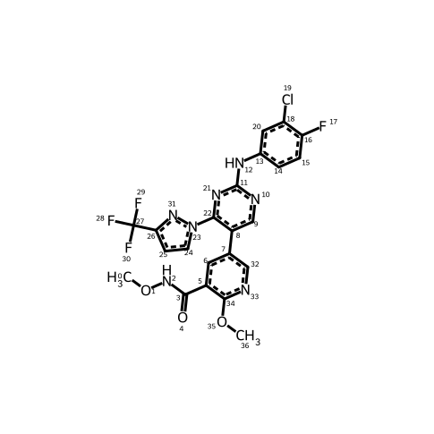 CONC(=O)c1cc(-c2cnc(Nc3ccc(F)c(Cl)c3)nc2-n2ccc(C(F)(F)F)n2)cnc1OC